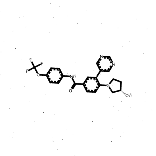 O=C(Nc1ccc(OC(F)(F)F)cc1)c1ccc(N2CC[C@H](O)C2)c(-c2cncnc2)c1